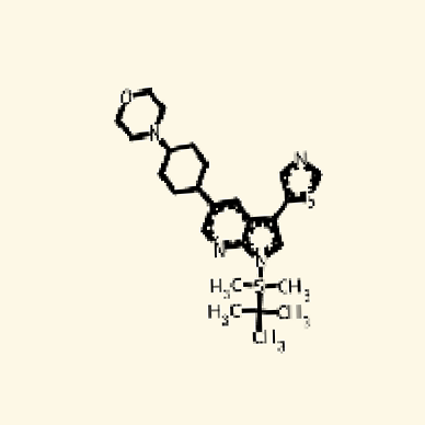 CC(C)(C)[Si](C)(C)n1cc(-c2cncs2)c2cc(C3CCC(N4CCOCC4)CC3)cnc21